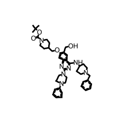 CC(C)(C)OC(=O)N1CCC(COc2cc3nc(N4CCN(c5ccccc5)CC4)nc(NC4CCN(Cc5ccccc5)CC4)c3cc2CO)CC1